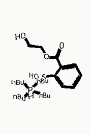 CCCC[PH](CCCC)(CCCC)CCCC.O=C(OCCO)c1ccccc1S(=O)(=O)O